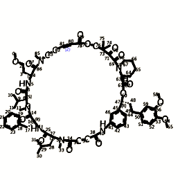 COCC[C@@H]1NC(=O)[C@H](C(C)C)N(C)C(=O)[C@@H](Cc2ccccc2)NC(=O)[C@H](CC(C)C)N(C)C(=O)CCC(=O)Nc2cccc(c2)[C@@H](CCc2ccc(OC)c(OC)c2)OC(=O)[C@@H]2CCCCN2C(=O)C(=O)C(C)(C)COC(=O)/C=C\CCN(C)C1=O